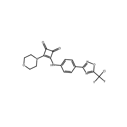 O=c1c(Nc2ccc(-c3noc(C(F)(F)Cl)n3)cc2)c(N2CCOCC2)c1=O